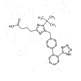 CC(C)(C)c1nc(CCCC(=O)O)nn1Cc1ccc(-c2ccccc2-c2nnn[nH]2)cc1